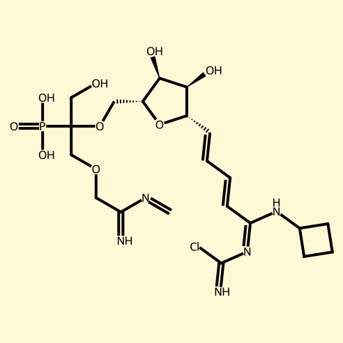 C=NC(=N)COCC(CO)(OC[C@H]1O[C@@H](/C=C/C=C/C(=N\C(=N)Cl)NC2CCC2)[C@H](O)[C@@H]1O)P(=O)(O)O